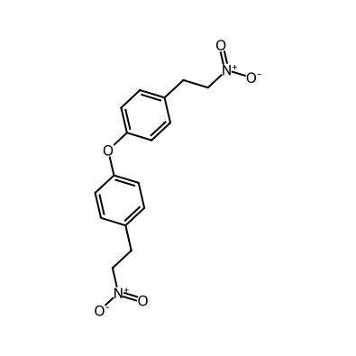 O=[N+]([O-])CCc1ccc(Oc2ccc(CC[N+](=O)[O-])cc2)cc1